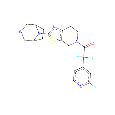 O=C(N1CCc2nc(N3C4CCC3CNC4)sc2C1)C(F)(F)c1ccnc(F)c1